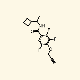 C#CCOc1c(F)cc(C(=O)NC(C)C2CCC2)c(F)c1F